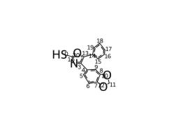 Sc1nc(-c2ccc3c(c2)OCO3)c(-c2ccccc2)o1